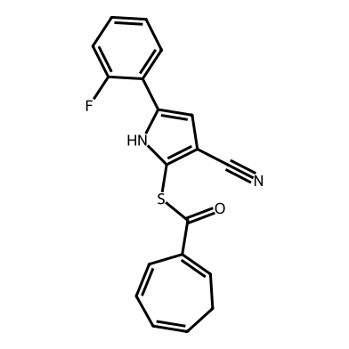 N#Cc1cc(-c2ccccc2F)[nH]c1SC(=O)C1=CCC=CC=C1